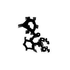 CN(C)C1CCCCC1C(=O)c1ccccc1